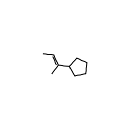 C/C=C(\C)[C]1CCCC1